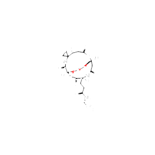 O=C(CC[C@H]1NC(=O)C[C@H]2/C=C/CCSSC[C@@H](NC1=O)C(=O)NC1(CC1)C(O)CC(=O)O2)NCC(F)(F)F